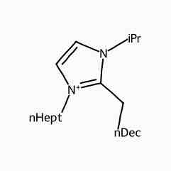 CCCCCCCCCCCc1n(C(C)C)cc[n+]1CCCCCCC